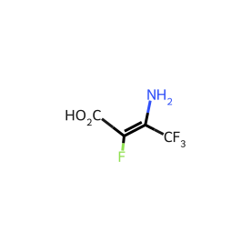 N/C(=C(/F)C(=O)O)C(F)(F)F